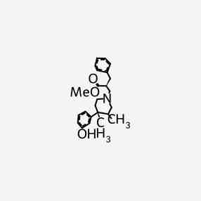 COC(=O)[C@@H](Cc1ccccc1)CN1CC[C@@](C)(c2cccc(O)c2)C(C)C1